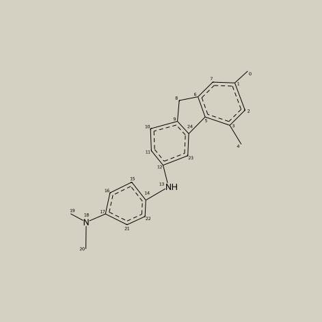 Cc1cc(C)c2c(c1)Cc1ccc(Nc3ccc(N(C)C)cc3)cc1-2